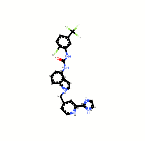 O=C(Nc1cc(C(F)(F)F)ccc1F)Nc1cccc2c1ccn2Cc1ccnc(-c2ncc[nH]2)c1